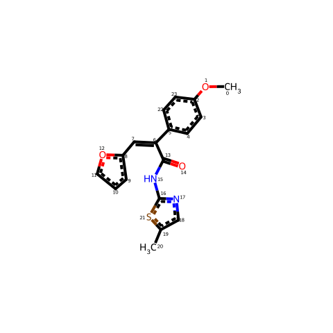 COc1ccc(C(=Cc2ccco2)C(=O)Nc2ncc(C)s2)cc1